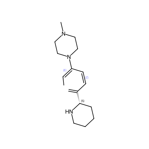 C=C(/C=C\C(=C/C)N1CCN(C)CC1)[C@@H]1CCCCN1